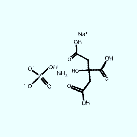 N.O=C(O)CC(O)(CC(=O)O)C(=O)O.O=P([O-])(O)O.[Na+]